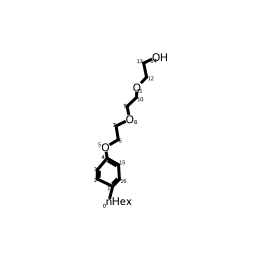 CCCCCCc1ccc(OCCOCCOCCO)cc1